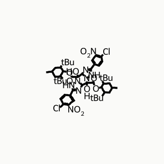 CC1CC(C(C)(C)C)C(OC(=O)C2(O)C3N=C(c4ccc(Cl)c([N+](=O)[O-])c4)NN3C(O)(C(=O)OC3C(C(C)(C)C)CC(C)CC3C(C)(C)C)C3N=C(c4ccc(Cl)c([N+](=O)[O-])c4)NN32)C(C(C)(C)C)C1